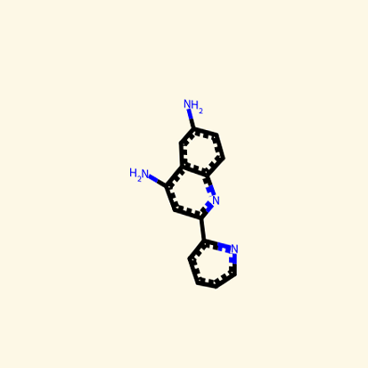 Nc1ccc2nc(-c3ccccn3)cc(N)c2c1